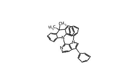 CC1(C)c2ccccc2N(c2nccc3c(-c4ccccc4)cn(-c4ccccc4)c23)c2ccccc21